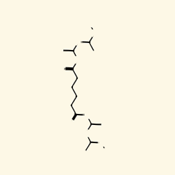 CCOC(C)OC(C)OC(=O)CCCCC(=O)OC(C)OC(C)OCC